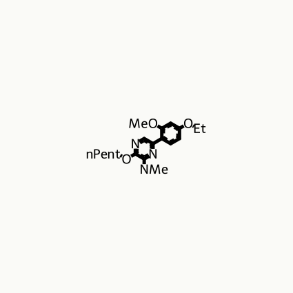 CCCCCOc1ncc(-c2ccc(OCC)cc2OC)nc1NC